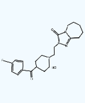 Cl.O=C(c1ccc(F)cc1)C1CCN(CCn2nc3n(c2=O)CCCCC3)CC1